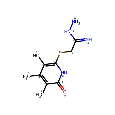 Cc1c(C(F)(F)F)c(C#N)c(SCC(=N)NN)[nH]c1=O